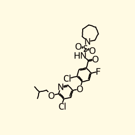 CC(C)COc1ncc(Oc2cc(F)c(C(=O)NS(=O)(=O)N3CCCCCC3)cc2Cl)cc1Cl